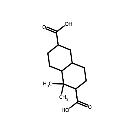 CC1(C)C(C(=O)O)CCC2CC(C(=O)O)CCC21